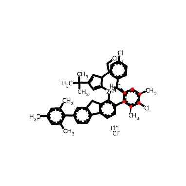 CCCC1C=C(C(C)(C)C)C=[C]1[Zr+2](=[C](c1ccc(Cl)cc1)c1ccc(Cl)cc1)[c]1c(-c2c(C)cc(C)cc2C)ccc2c1Cc1cc(-c3c(C)cc(C)cc3C)ccc1-2.[Cl-].[Cl-]